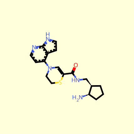 N[C@@H]1CCC[C@@H]1CNC(=O)C1=CN(c2ccnc3[nH]ccc23)CCS1